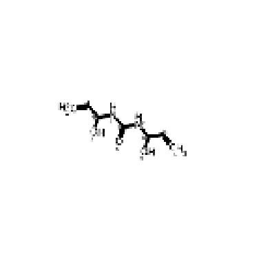 C=CC(O)NC(=O)NC(O)C=C